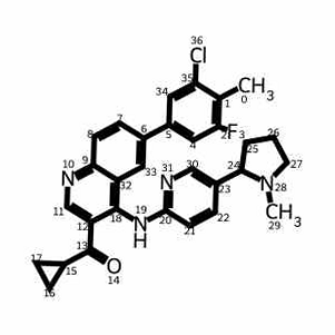 Cc1c(F)cc(-c2ccc3ncc(C(=O)C4CC4)c(Nc4ccc(C5CCCN5C)cn4)c3c2)cc1Cl